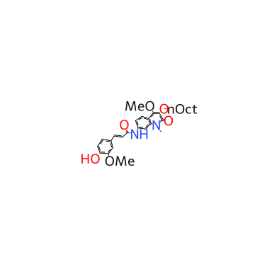 CCCCCCCCOc1c(OC)c2ccc(NC(=O)C=Cc3ccc(O)c(OC)c3)cc2n(C)c1=O